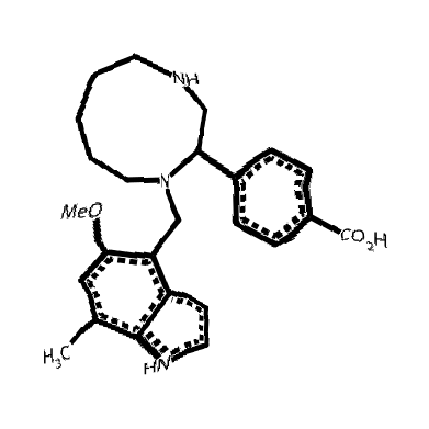 COc1cc(C)c2[nH]ccc2c1CN1CCCCCNCC1c1ccc(C(=O)O)cc1